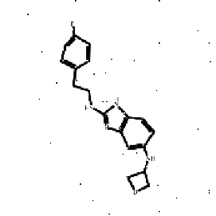 Fc1ccc(CCNc2nc3cc(NC4COC4)ccc3[nH]2)cc1